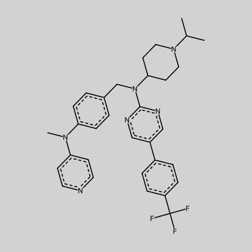 CC(C)N1CCC(N(Cc2ccc(N(C)c3ccncc3)cc2)c2ncc(-c3ccc(C(F)(F)F)cc3)cn2)CC1